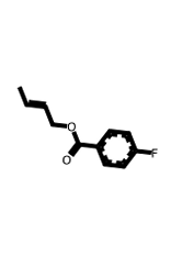 C/C=C/COC(=O)c1ccc(F)cc1